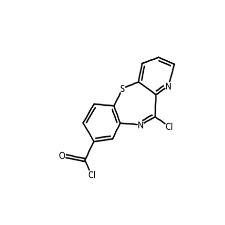 O=C(Cl)c1ccc2c(c1)N=C(Cl)c1ncccc1S2